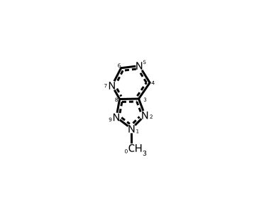 Cn1nc2cncnc2n1